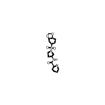 O=C(Nc1ccn(S(=O)(=O)c2ccc3c(c2)OCO3)c1)c1ccccn1